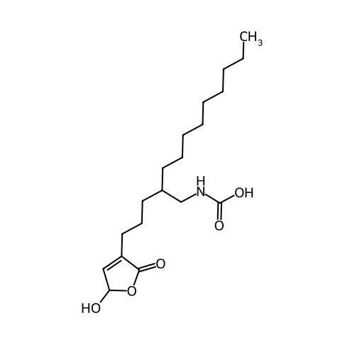 CCCCCCCCCC(CCCC1=CC(O)OC1=O)CNC(=O)O